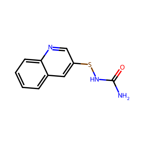 NC(=O)NSc1cnc2ccccc2c1